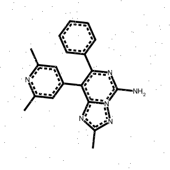 Cc1cc(-c2c(-c3ccccc3)nc(N)n3nc(C)nc23)cc(C)n1